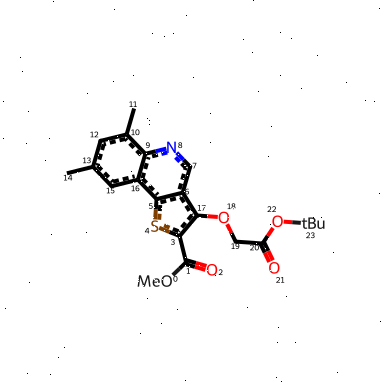 COC(=O)c1sc2c(cnc3c(C)cc(C)cc32)c1OCC(=O)OC(C)(C)C